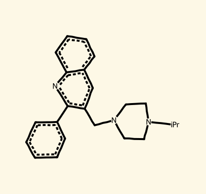 CC(C)N1CCN(Cc2cc3ccccc3nc2-c2ccccc2)CC1